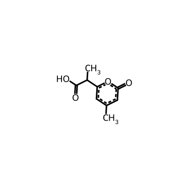 Cc1cc(C(C)C(=O)O)oc(=O)c1